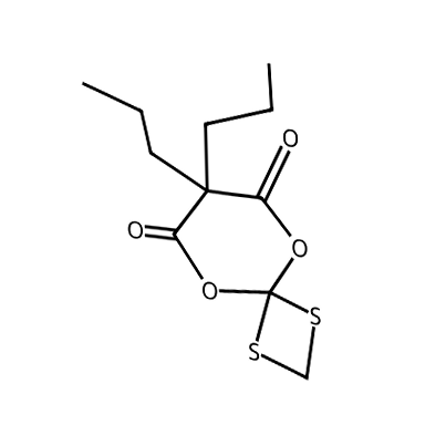 CCCC1(CCC)C(=O)OC2(OC1=O)SCS2